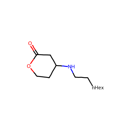 CCCCCCCCNC1CCOC(=O)C1